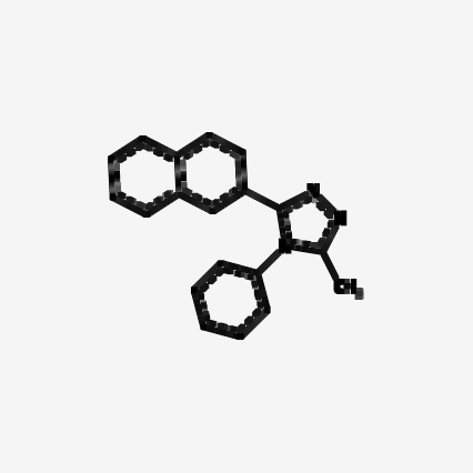 Cc1nnc(-c2ccc3ccccc3c2)n1-c1ccccc1